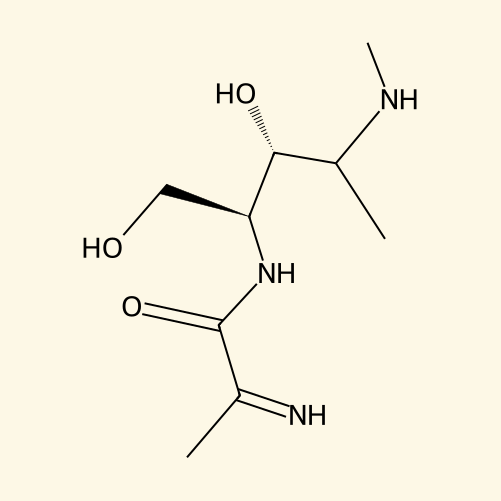 CNC(C)[C@@H](O)[C@H](CO)NC(=O)C(C)=N